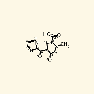 C[C@H]1CC(=O)C(C(=O)c2ncccn2)CN1C(=O)O